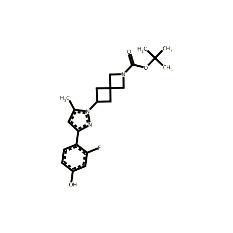 Cc1cc(-c2ccc(O)cc2F)nn1C1CC2(C1)CN(C(=O)OC(C)(C)C)C2